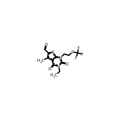 CCn1c(=O)c2c(C)c(C=O)sc2n(CCSC(F)(F)F)c1=O